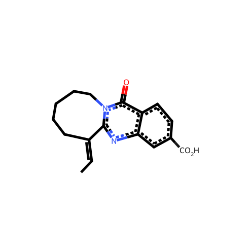 C/C=C1\CCCCCn2c1nc1cc(C(=O)O)ccc1c2=O